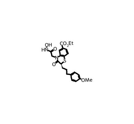 CCOC(=O)c1ccc2c(c1)N(CC(=O)NO)C(=O)[C@H](CCCc1ccc(OC)cc1)S2